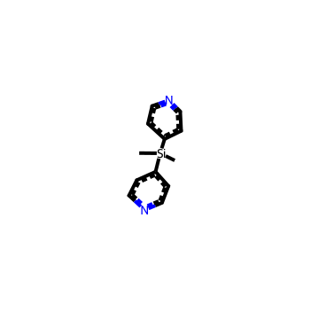 C[Si](C)(c1ccncc1)c1ccncc1